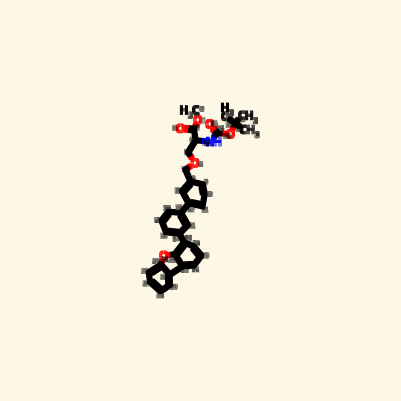 COC(=O)C(COCc1cccc(-c2cccc(-c3cccc4c3oc3ccccc34)c2)c1)NC(=O)OC(C)(C)C